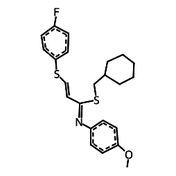 COc1ccc(N=C(C=CSc2ccc(F)cc2)SCC2CCCCC2)cc1